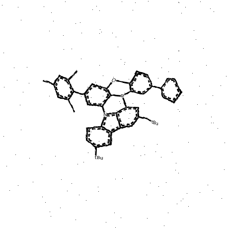 Cc1cc(C)c(-c2cc3c4c(c2)-n2c5ccc(C(C)(C)C)cc5c5cc(C(C)(C)C)cc(c52)B4c2cc(-c4ccccc4)ccc2O3)c(C)c1